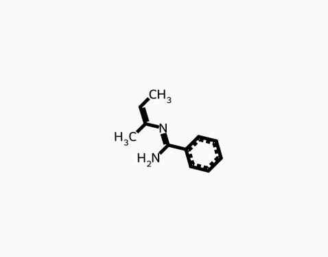 C/C=C(C)\N=C(/N)c1ccccc1